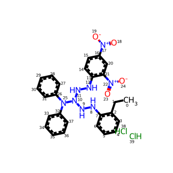 CCc1ccccc1NNN(NNc1ccc([N+](=O)[O-])cc1[N+](=O)[O-])N(c1ccccc1)c1ccccc1.Cl.Cl